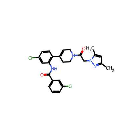 Cc1cc(C)n(CC(=O)N2CC=C(c3ccc(Cl)cc3NC(=O)c3cccc(Cl)c3)CC2)n1